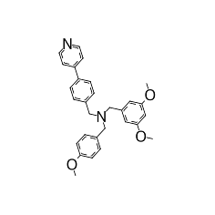 COc1ccc(CN(Cc2ccc(-c3ccncc3)cc2)Cc2cc(OC)cc(OC)c2)cc1